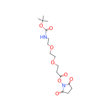 CC(C)(C)OC(=O)NCCOCCOCCC(=O)ON1C(=O)CCC1=O